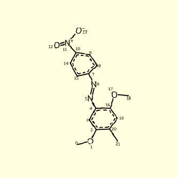 COc1cc(N=Nc2ccc([N+](=O)[O-])cc2)c(OC)cc1C